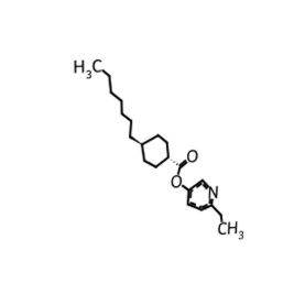 CCCCCCC[C@H]1CC[C@H](C(=O)Oc2ccc(CC)nc2)CC1